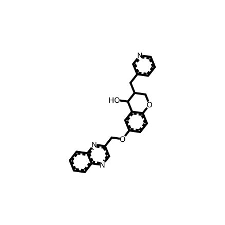 OC1c2cc(OCc3cnc4ccccc4n3)ccc2OCC1Cc1cccnc1